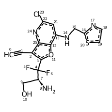 C#Cc1c(C(F)(F)[C@@H](N)CO)oc2c(NCc3nccs3)cc(Cl)nc12